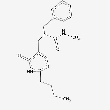 CCCCc1ccc(CN(Cc2ccccc2)C(=O)NC)c(=O)[nH]1